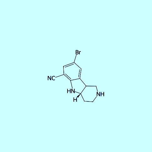 N#Cc1cc(Br)cc2c1N[C@H]1CCNCC21